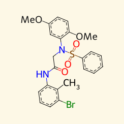 COc1ccc(OC)c(N(CC(=O)Nc2cccc(Br)c2C)S(=O)(=O)c2ccccc2)c1